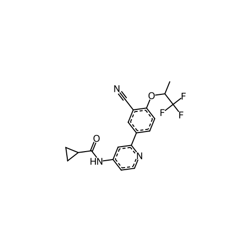 CC(Oc1ccc(-c2cc(NC(=O)C3CC3)ccn2)cc1C#N)C(F)(F)F